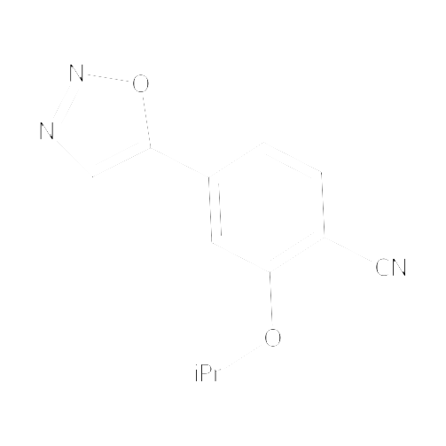 CC(C)Oc1cc(-c2cnno2)ccc1C#N